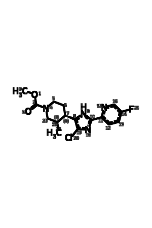 COC(=O)N1CC[C@@H](c2[nH]c(-c3ccc(F)cn3)nc2Cl)[C@@H](C)C1